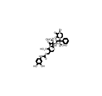 CCN1CCN([C@@](NC=O)(C(=O)N[C@]2(NC=O)C(=O)N3C(C(=O)O)=C(COC(=O)Nc4ccc(O)c(O)c4)CS[C@@H]32)c2ccccc2)C(=O)C1=O